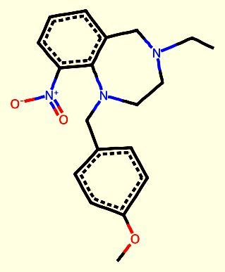 CCN1CCN(Cc2ccc(OC)cc2)c2c(cccc2[N+](=O)[O-])C1